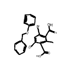 Cc1c(C(=O)O)c(Cl)cc(Br)c1C(=O)O.c1ccc(COc2ccccc2)cc1